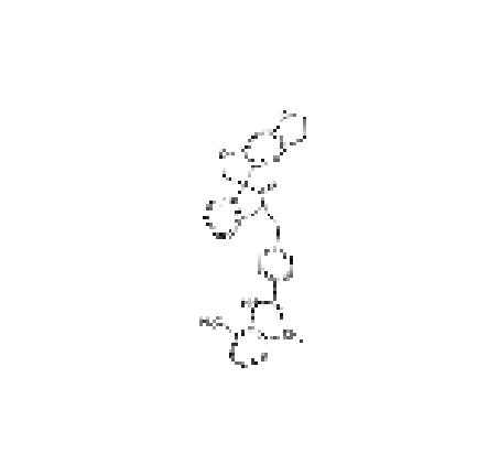 Cc1cccc(C)c1NC(=O)c1ccc(CN2C(=O)C3(COc4cc5c(cc43)CCO5)c3ccccc32)cc1